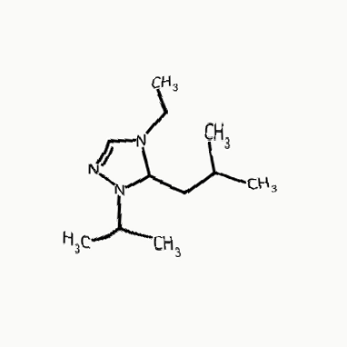 CCN1C=NN(C(C)C)C1CC(C)C